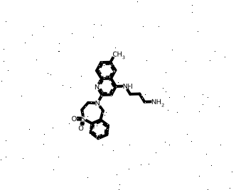 Cc1ccc2nc(N3CCS(=O)(=O)c4ccccc4C3)cc(NCCCN)c2c1